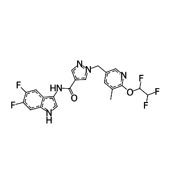 Cc1cc(Cn2cc(C(=O)Nc3c[nH]c4cc(F)c(F)cc34)cn2)cnc1OC(F)C(F)F